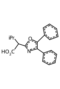 CC(C)C(C(=O)O)c1nc(-c2ccccc2)c(-c2ccccc2)o1